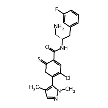 Cc1cnn(C)c1C1=C(Cl)C=C(C(=O)N[C@H](CN)Cc2cccc(F)c2)C(=S)C1